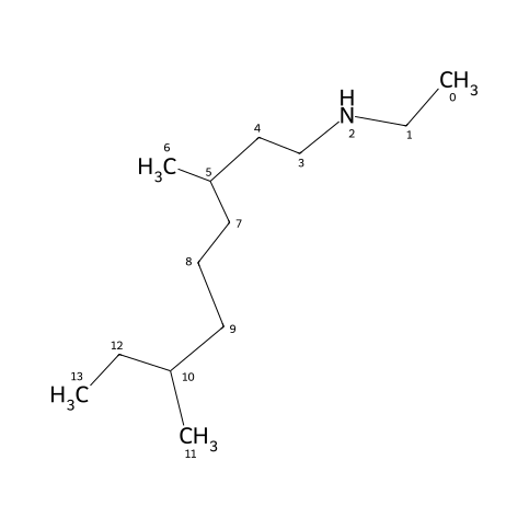 CCNCCC(C)CCCC(C)CC